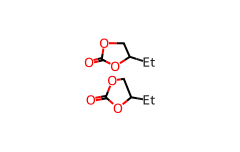 CCC1COC(=O)O1.CCC1COC(=O)O1